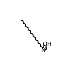 CCCCCCCCCCCCCCCCCc1nccn1O